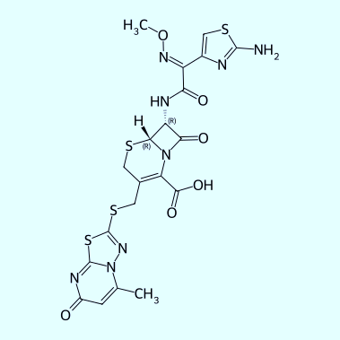 CON=C(C(=O)N[C@@H]1C(=O)N2C(C(=O)O)=C(CSc3nn4c(C)cc(=O)nc4s3)CS[C@H]12)c1csc(N)n1